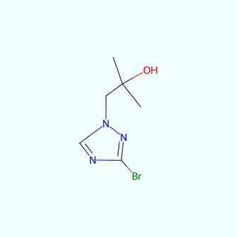 CC(C)(O)Cn1cnc(Br)n1